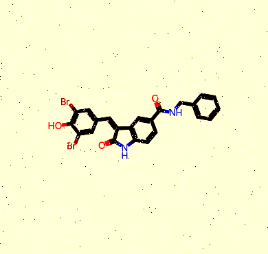 O=C1Nc2ccc(C(=O)NCc3ccccc3)cc2C1=Cc1cc(Br)c(O)c(Br)c1